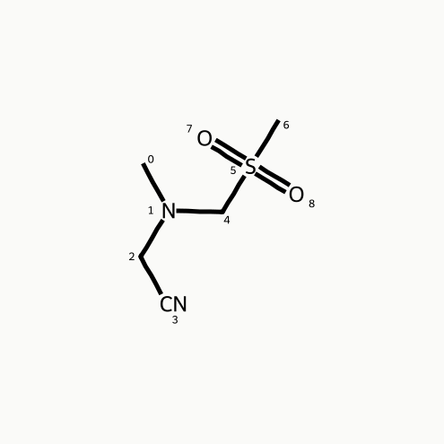 CN(CC#N)CS(C)(=O)=O